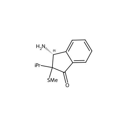 CSC1(C(C)C)C(=O)c2ccccc2[C@H]1N